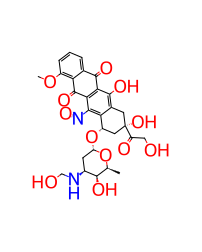 COc1cccc2c1C(=O)c1c(N=O)c3c(c(O)c1C2=O)C[C@@](O)(C(=O)CO)C[C@@H]3O[C@H]1C[C@H](NCO)[C@H](O)[C@H](C)O1